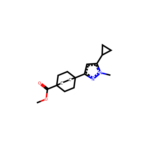 COC(=O)C12CCC(c3cc(C4CC4)n(C)n3)(CC1)CC2